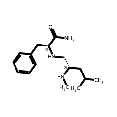 CN[C@H](CN[C@@H](Cc1ccccc1)C(N)=O)CC(C)C